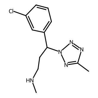 CNCCC(c1cccc(Cl)c1)n1nnc(C)n1